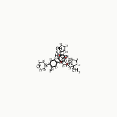 CCc1ccc(CN2C3CCC2(C)CC(CN(C(=O)NC2CCCC2)c2ccc(N4CCOCC4)c(F)c2)C3)cc1